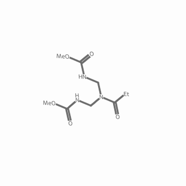 CCC(=O)N(CNC(=O)OC)CNC(=O)OC